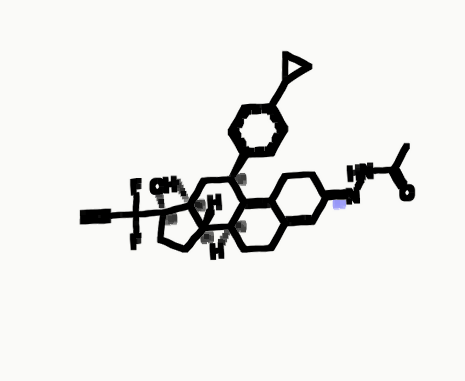 C#CC(F)(F)[C@]1(O)CC[C@H]2[C@@H]3CCC4=C/C(=N/NC(C)=O)CCC4=C3[C@H](c3ccc(C4CC4)cc3)C[C@@]21C